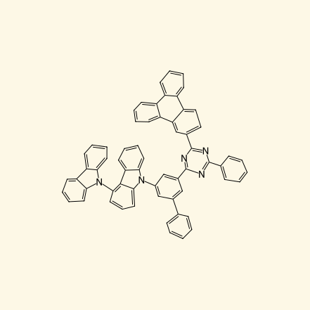 c1ccc(-c2cc(-c3nc(-c4ccccc4)nc(-c4ccc5c6ccccc6c6ccccc6c5c4)n3)cc(-n3c4ccccc4c4c(-n5c6ccccc6c6ccccc65)cccc43)c2)cc1